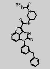 CC(C)(C)OC(=O)N1CCCC(NC(=O)c2sc3nccc4c3c2NC(=O)N4c2cccc(Cc3ccccc3)c2)C1